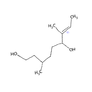 C/C=C(\C)C(O)CCC(C)CCO